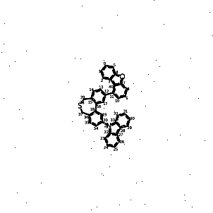 c1ccc2c(c1)oc1cccc(-c3ccc4c(c3)-c3cc(-n5c6ccccc6c6ccccc65)ccc3CSC4)c12